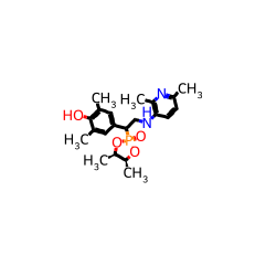 Cc1ccc(NCC(c2cc(C)c(O)c(C)c2)P2(=O)O[C@@H](C)[C@@H](C)O2)c(C)n1